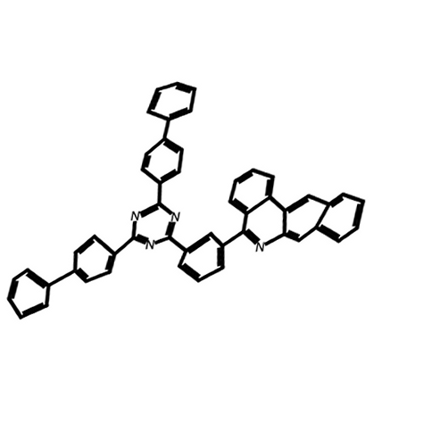 c1ccc(-c2ccc(-c3nc(-c4ccc(-c5ccccc5)cc4)nc(-c4cccc(-c5nc6cc7ccccc7cc6c6ccccc56)c4)n3)cc2)cc1